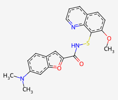 COc1ccc2cccnc2c1SNC(=O)c1cc2ccc(N(C)C)cc2o1